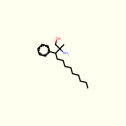 CCCCCCCCCC(c1ccccc1)C(C)(N)CO